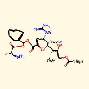 CCCCCCCC(=O)OC[C@H](O)[C@H](OC)[C@@H]1OC(C(=O)OC(OC(=O)[C@@H](N)C(C)C)c2ccccc2)=C[C@H](NC(=N)N)[C@H]1NC(C)=O